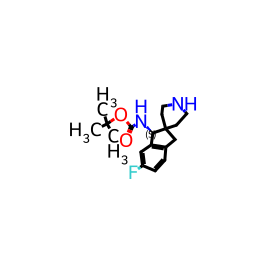 CC(C)(C)OC(=O)N[C@@H]1c2cc(F)ccc2CC12CCNCC2